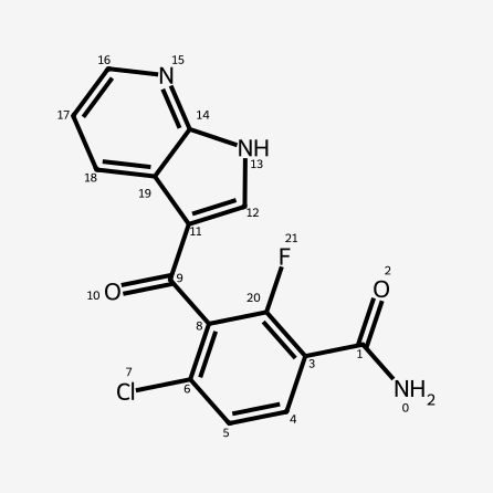 NC(=O)c1ccc(Cl)c(C(=O)c2c[nH]c3ncccc23)c1F